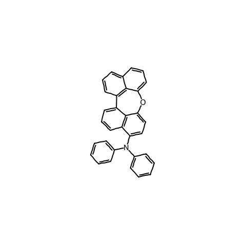 c1ccc(N(c2ccccc2)c2ccc3oc4cccc5cccc(c6cccc2c36)c54)cc1